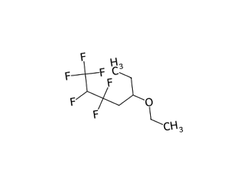 CCOC(CC)CC(F)(F)C(F)C(F)(F)F